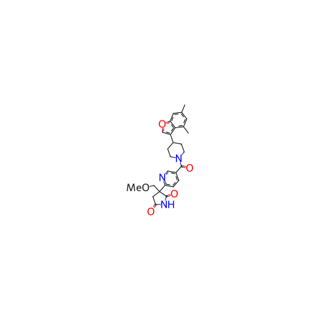 COCC1(c2ccc(C(=O)N3CCC(c4coc5cc(C)cc(C)c45)CC3)cn2)CC(=O)NC1=O